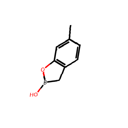 Cc1ccc2c(c1)OB(O)C2